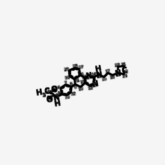 CS(=O)(=O)Nc1ccc(C2Cc3cnc(NCCCN4CCCC4)nc3-c3ccccc32)cc1